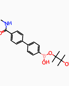 CNC(=O)c1ccc(-c2ccc(B(O)OC(C)(C)C(C)(C)O)cc2)cc1